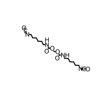 O=C=NCCCCCCNC(=O)OCOC(=O)NCCCCCCN=C=O